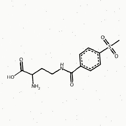 CS(=O)(=O)c1ccc(C(=O)NCCC(N)C(=O)O)cc1